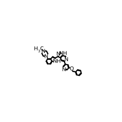 CN1CCN(c2cccc3[nH]c(-c4n[nH]c5cnc(-c6cncc(OCc7ccccc7)c6)cc45)cc23)CC1